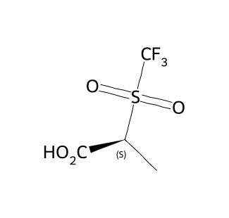 C[C@@H](C(=O)O)S(=O)(=O)C(F)(F)F